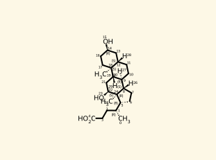 C[C@H](CCC(=O)O)[C@H]1CC[C@H]2[C@@H]3CC[C@H]4C[C@H](O)CC[C@]4(C)[C@H]3C[C@H](O)[C@]12C